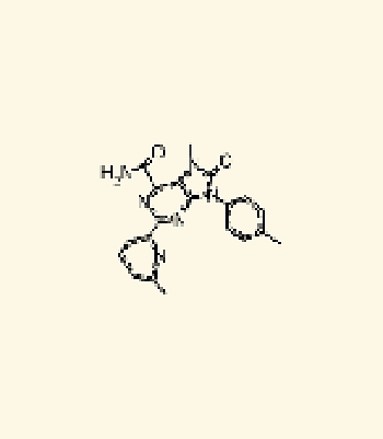 Cc1ccc(-n2c(=O)[nH]c3c(C(N)=O)nc(-c4cccc(C)n4)nc32)cc1